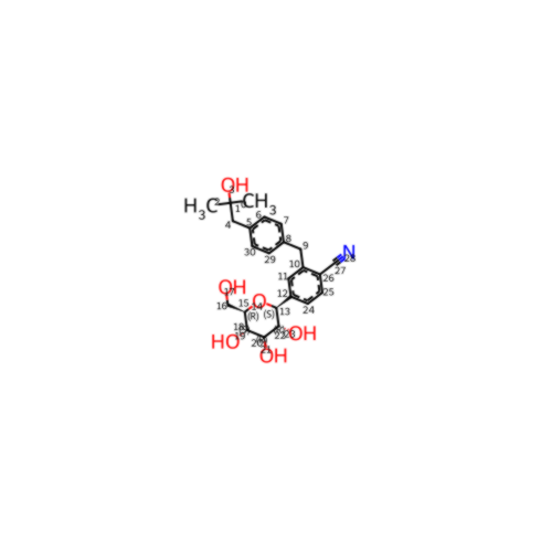 CC(C)(O)Cc1ccc(Cc2cc([C@@H]3O[C@H](CO)[C@@H](O)[C@H](O)[C@H]3O)ccc2C#N)cc1